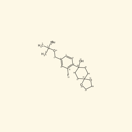 CC(C)(C)[Si](C)(C)OCc1ccc(C2(O)CCC3(CC2)OCCO3)c(F)c1